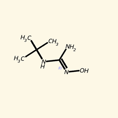 CC(C)(C)N/C(N)=N/O